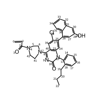 C=CC(=O)N1CCN(c2nc(=O)n(-c3ccccc3CCCC)c3cc(-c4cc(O)cc5ccccc45)c(Cl)cc23)CC1